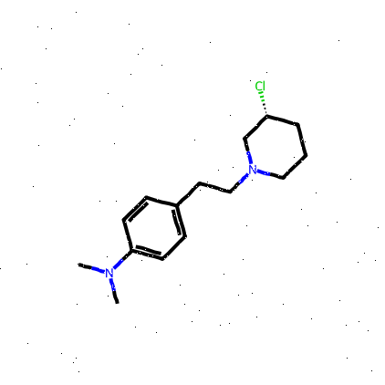 CN(C)c1ccc(CCN2CCC[C@@H](Cl)C2)cc1